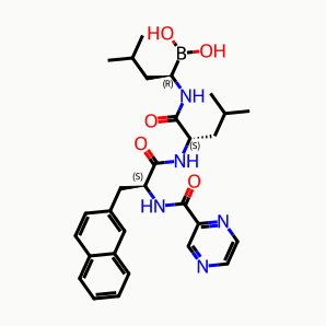 CC(C)C[C@H](NC(=O)[C@H](CC(C)C)NC(=O)[C@H](Cc1ccc2ccccc2c1)NC(=O)c1cnccn1)B(O)O